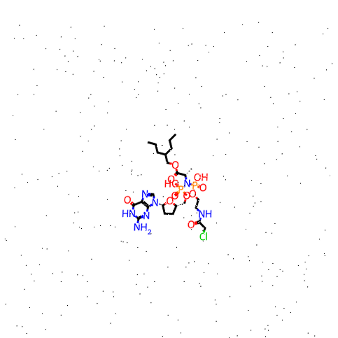 CCCC(CCC)COC(=O)[C@H](C)N(P(=O)(O)OCCNC(=O)CCl)P(=O)(O)OC[C@@H]1CC[C@H](n2cnc3c(=O)[nH]c(N)nc32)O1